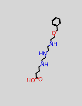 O=C(O)CCCNCCNCCNCCOCc1ccccc1